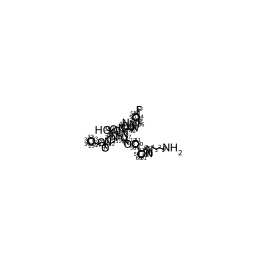 NCCCCn1cc2c(-c3cccc(O[C@H]4C[C@@H](C(=O)N5CCN(C(=O)OCc6ccccc6)C[C@H]5C(=O)O)N(c5ncnc6c5cnn6-c5ccc(F)cc5F)C4)c3)cccc2n1